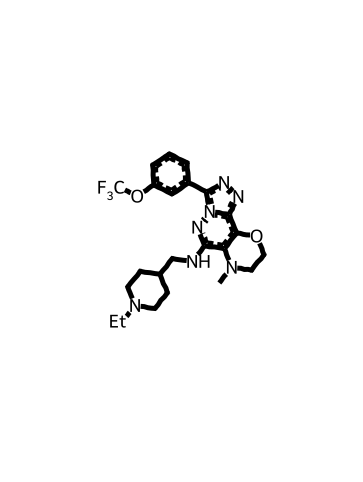 CCN1CCC(CNc2nn3c(-c4cccc(OC(F)(F)F)c4)nnc3c3c2N(C)CCO3)CC1